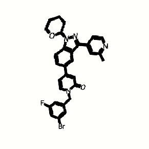 Cc1cc(-c2nn(C3CCCCO3)c3ccc(-c4ccn(Cc5cc(F)cc(Br)c5)c(=O)c4)cc23)ccn1